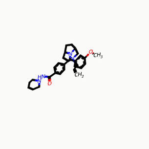 C=CCN1CCC2CCC(C1)N2C(c1ccc(C(=O)NN2CCCCC2)cc1)c1cccc(OC)c1